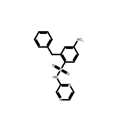 O=[N+]([O-])c1ccc(S(=O)(=O)Nc2cnccn2)c(Cc2ccccc2)c1